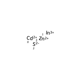 [Cd+2].[In+3].[S-2].[Zn+2]